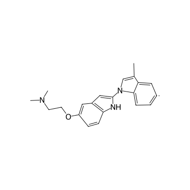 Cc1cn(-c2cc3cc(OCCN(C)C)ccc3[nH]2)c2cc[c]cc12